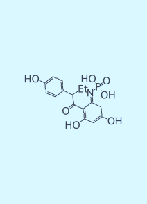 CCC(C(=O)C1=C(O)C=C(O)CC1=NP(=O)(O)O)c1ccc(O)cc1